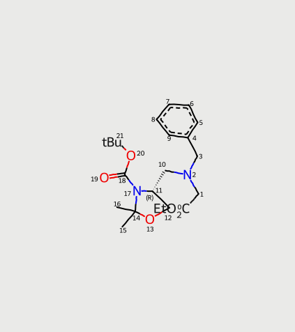 CCOC(=O)CN(Cc1ccccc1)C[C@@H]1COC(C)(C)N1C(=O)OC(C)(C)C